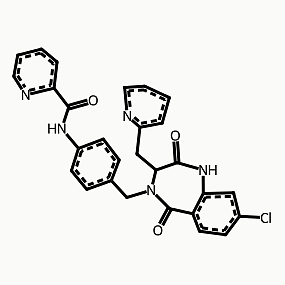 O=C(Nc1ccc(CN2C(=O)c3ccc(Cl)cc3NC(=O)C2Cc2ccccn2)cc1)c1ccccn1